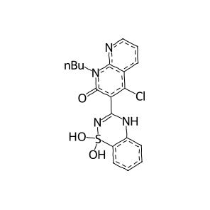 CCCCn1c(=O)c(C2=NS(O)(O)c3ccccc3N2)c(Cl)c2cccnc21